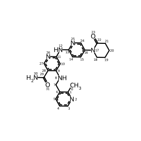 Cc1ncccc1CNc1cc(Nc2ccc(N3CCCCC3=O)cn2)ncc1C(N)=O